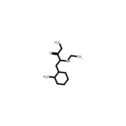 CCNC(CC1CCCCC1C)C(=O)CC